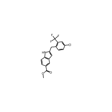 COC(=O)c1ccc2[nH]c(Cc3ccc(Cl)cc3C(F)(F)F)cc2c1